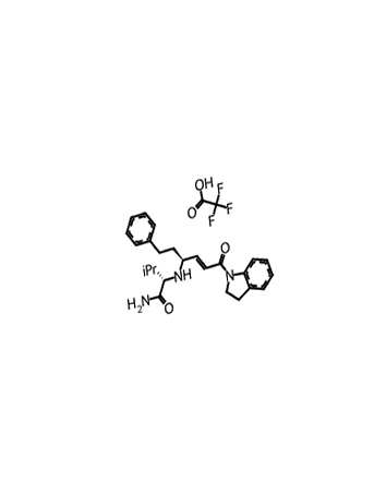 CC(C)[C@H](N[C@H](/C=C/C(=O)N1CCc2ccccc21)CCc1ccccc1)C(N)=O.O=C(O)C(F)(F)F